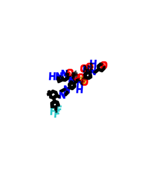 C[C@@H]1CN(c2cc(N3CCN(CC4=C(c5ccc(C(F)(F)F)cc5)CC(C)(C)CC4)CC3)ccc2C(=O)NS(=O)(=O)c2ccc(NCC3CCOCC3)c([N+](=O)[O-])c2)c2cc3cc[nH]c3nc2O1